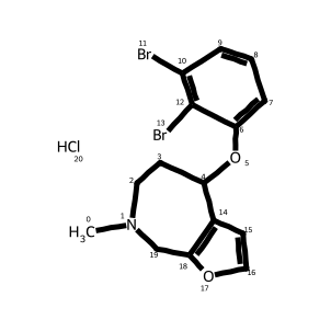 CN1CCC(Oc2cccc(Br)c2Br)c2ccoc2C1.Cl